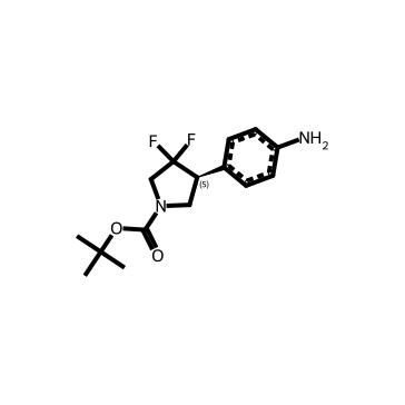 CC(C)(C)OC(=O)N1C[C@H](c2ccc(N)cc2)C(F)(F)C1